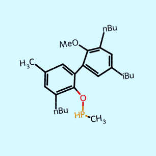 CCCCc1cc(C(C)CC)cc(-c2cc(C)cc(CCCC)c2OPC)c1OC